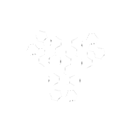 Cc1c(N2c3ccccc3S(c3ccccc3)(c3ccccc3)c3ccccc32)c(C)c(N2c3ccccc3S(c3ccccc3)(c3ccccc3)c3ccccc32)c(C)c1N1c2ccccc2S(c2ccccc2)(c2ccccc2)c2ccccc21